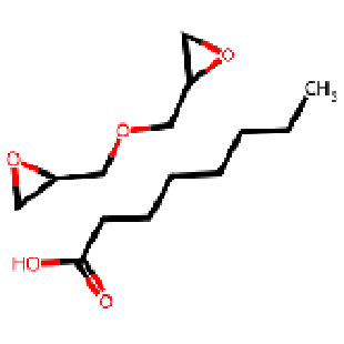 C(OCC1CO1)C1CO1.CCCCCCCC(=O)O